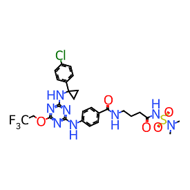 CN(C)S(=O)(=O)NC(=O)CCCNC(=O)c1ccc(Nc2nc(NC3(c4ccc(Cl)cc4)CC3)nc(OCC(F)(F)F)n2)cc1